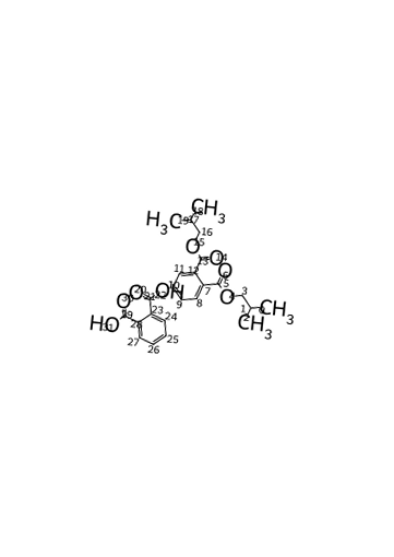 CC(C)COC(=O)c1ccccc1C(=O)OCC(C)C.O=C(O)c1ccccc1C(=O)O